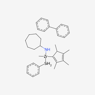 CC1=C(C)C(C)[C]([Zr]([CH3])([NH]C2CCCCCC2)[SiH2]c2ccccc2)=C1C.c1ccc(-c2ccccc2)cc1